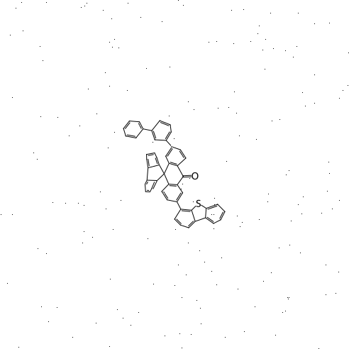 O=C1c2cc(-c3cccc4c3sc3ccccc34)ccc2C2(c3cc(-c4cccc(-c5ccccc5)c4)ccc31)c1ccccc1-c1ccccc12